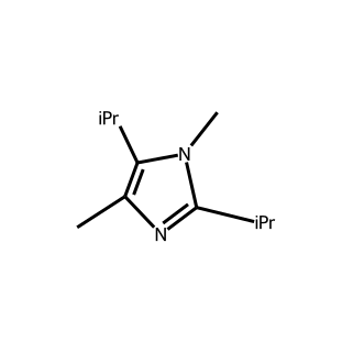 Cc1nc(C(C)C)n(C)c1C(C)C